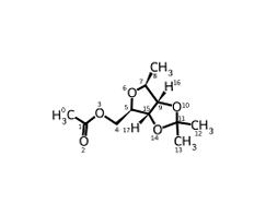 CC(=O)OC[C@H]1O[C@@H](C)[C@@H]2OC(C)(C)O[C@@H]21